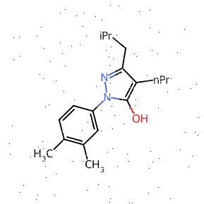 CCCc1c(CC(C)C)nn(-c2ccc(C)c(C)c2)c1O